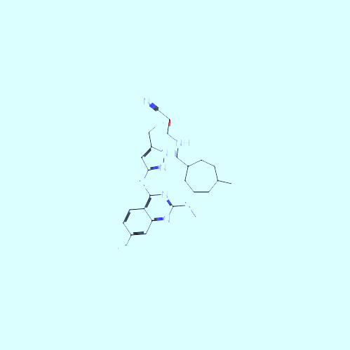 CC1CCC(CNCCC#N)C[C@@H](N(C)c2nc(Nc3cc(CO)[nH]n3)c3ccc(Cl)cc3n2)C1